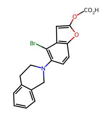 O=C(O)Oc1cc2c(Br)c(N3CCc4ccccc4C3)ccc2o1